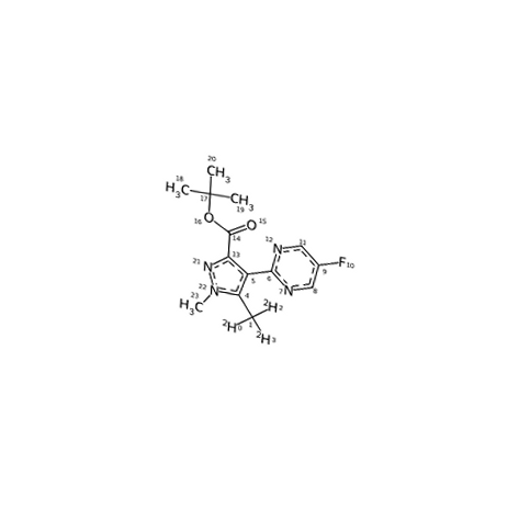 [2H]C([2H])([2H])c1c(-c2ncc(F)cn2)c(C(=O)OC(C)(C)C)nn1C